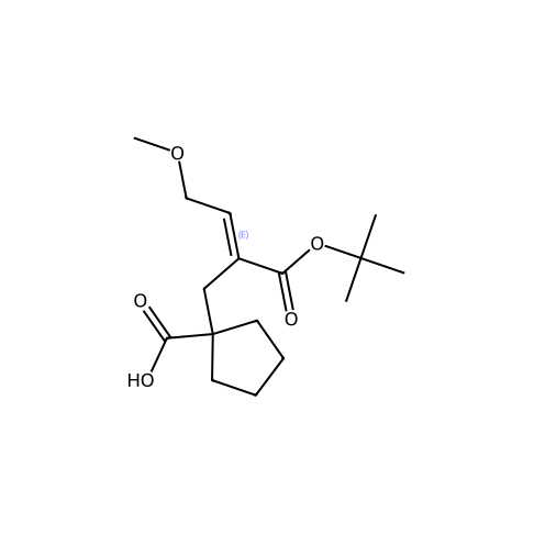 COC/C=C(\CC1(C(=O)O)CCCC1)C(=O)OC(C)(C)C